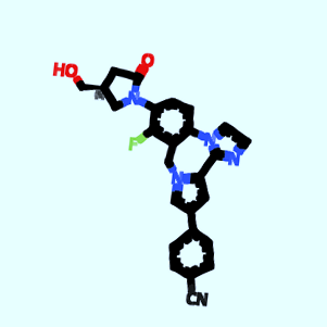 N#Cc1ccc(-c2cc3n(c2)Cc2c(ccc(N4C[C@@H](CO)CC4=O)c2F)-n2ccnc2-3)cc1